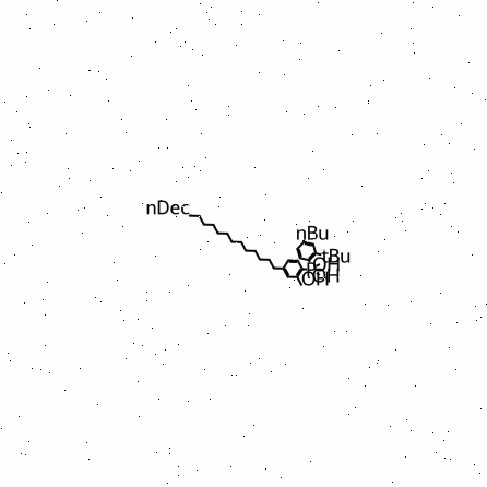 CCCCCCCCCCCCCCCCCCCCCCCc1ccc(P(O)(O)(O)c2ccc(CCCC)cc2C(C)(C)C)c(C)c1